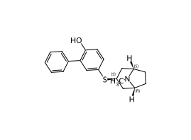 CN1[C@@H]2CC[C@H]1C[C@H](Sc1ccc(O)c(-c3ccccc3)c1)C2